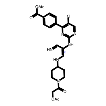 COC(=O)c1ccc(-c2nc(N/C(C=N)=C/NC3CCN(C(=O)COC(C)=O)CC3)ncc2Cl)cc1